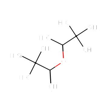 CC(OC(C)C(C)(C)[SiH3])C(C)(C)[SiH3]